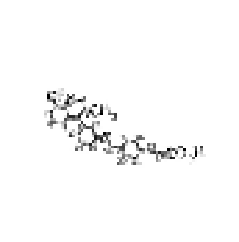 Cc1cnc2c(C(F)(F)F)cccc2c1-c1cccc(OCc2ccc(C#CC(=O)O)cc2)c1